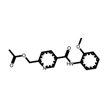 COc1ccccc1NC(=O)c1ccc(COC(C)=O)nc1